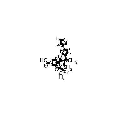 CC(NC(=O)C1(NC(=O)C(C)(C)Br)CCN(C(=O)O)CC1)c1ccc(-n2cc(F)cn2)nc1